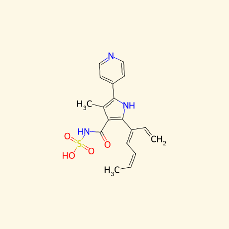 C=C/C(=C\C=C/C)c1[nH]c(-c2ccncc2)c(C)c1C(=O)NS(=O)(=O)O